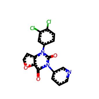 O=c1c2occc2n(-c2ccc(Cl)c(Cl)c2)c(=O)n1-c1cccnc1